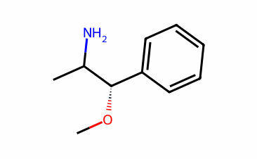 CO[C@@H](c1ccccc1)C(C)N